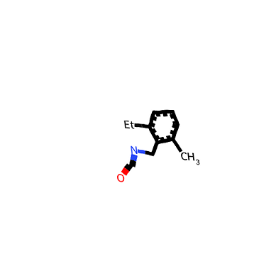 CCc1cccc(C)c1CN=C=O